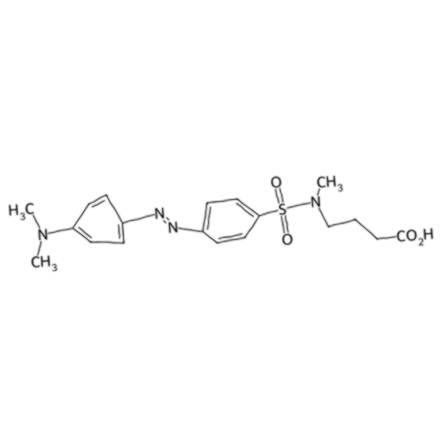 CN(C)c1ccc(N=Nc2ccc(S(=O)(=O)N(C)CCCC(=O)O)cc2)cc1